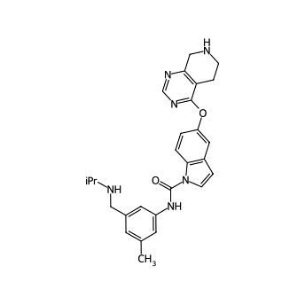 Cc1cc(CNC(C)C)cc(NC(=O)n2ccc3cc(Oc4ncnc5c4CCNC5)ccc32)c1